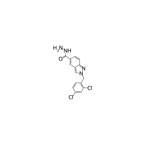 NNC(=O)c1ccc2nn(Cc3ccc(Cl)cc3Cl)cc2c1